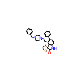 O=C1Nc2ccc(-c3ccccc3)c(CCN3CCN(Cc4ccccc4)CC3)c2C12SCCS2